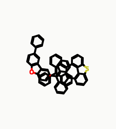 c1ccc(-c2ccc3oc4ccc(-c5c6ccccc6c(-c6cccc7sc8cccc(-c9c%10ccccc%10c(-c%10ccccc%10)c%10ccccc9%10)c8c67)c6ccccc56)cc4c3c2)cc1